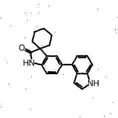 O=C1Nc2ccc(-c3cccc4[nH]ccc34)cc2C12CCCCC2